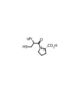 CCCC(CS)C(=O)N1CCC[C@H]1C(=O)O